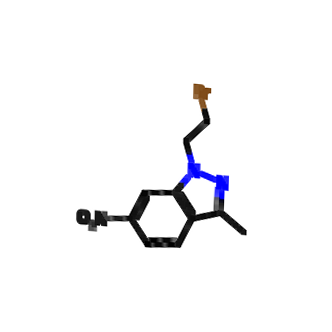 Cc1nn(CCBr)c2cc([N+](=O)[O-])ccc12